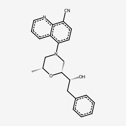 C[C@@H]1CN(c2ccc(C#N)c3ncccc23)C[C@H]([C@H](O)Cc2ccccc2)O1